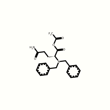 NC(=O)CC[C@H](C(=O)OC(=O)C(F)(F)F)N(Cc1ccccc1)Cc1ccccc1